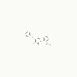 NC(=O)c1ccccc1Cn1cnc(OCc2ccccc2)c(Br)c1=O